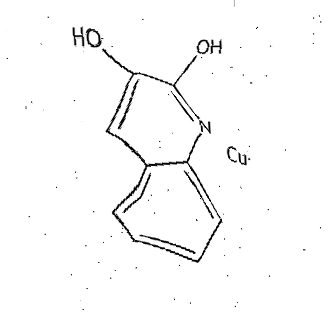 Oc1cc2ccccc2nc1O.[Cu]